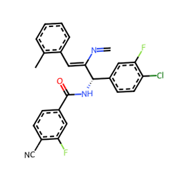 C=N/C(=C\c1ccccc1C)[C@@H](NC(=O)c1ccc(C#N)c(F)c1)c1ccc(Cl)c(F)c1